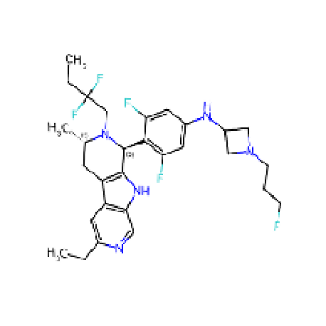 CCc1cc2c3c([nH]c2cn1)[C@H](c1c(F)cc(NC2CN(CCCF)C2)cc1F)N(CC(F)(F)CC)[C@@H](C)C3